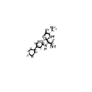 CC(C)C(=O)[C@H](CN)NC(=O)[C@@H](NC(=O)CC(CN)C1CCCCC1)C(C)O